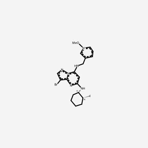 CO[n+]1cccc(CNc2cc(N[C@H]3CCCC[C@H]3I)nc3c(Br)cnn23)c1